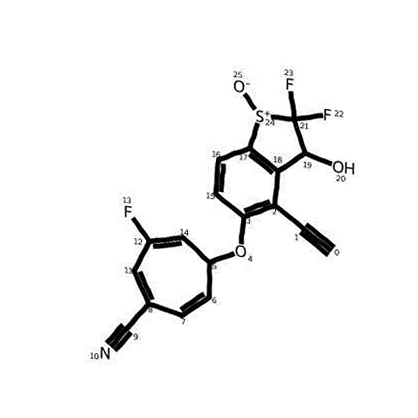 C#Cc1c(OC2C=CC(C#N)=CC(F)=C2)ccc2c1C(O)C(F)(F)[S+]2[O-]